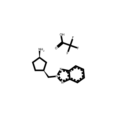 N[C@@H]1CC[C@H](Cn2nc3ccccc3n2)C1.O=C(O)C(F)(F)F